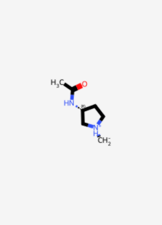 [CH2-][NH+]1CC[C@@H](NC(C)=O)C1